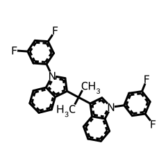 CC(C)(c1cn(-c2cc(F)cc(F)c2)c2ccccc12)c1cn(-c2cc(F)cc(F)c2)c2ccccc12